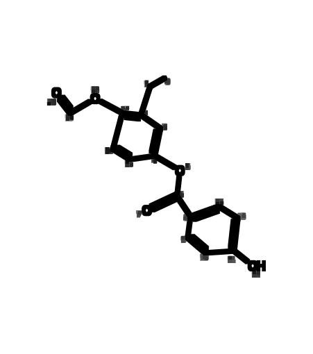 CCc1cc(OC(=O)c2ccc(O)cc2)ccc1OC=O